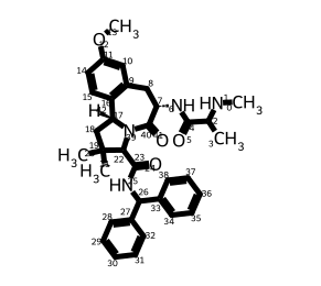 CNC(C)C(=O)N[C@H]1Cc2cc(OC)ccc2[C@H]2CC(C)(C)C(C(=O)NC(c3ccccc3)c3ccccc3)N2C1=O